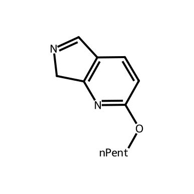 CCCCCOc1ccc2c(n1)CN=C2